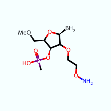 B[C@@H]1O[C@H](COC)[C@H](OP(C)(=O)O)C1OCCON